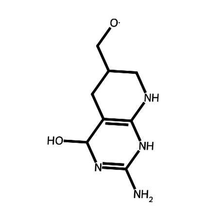 NC1=NC(O)C2=C(NCC(C[O])C2)N1